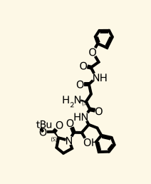 CC(C)(C)OC(=O)[C@@H]1CCCN1C(=O)C(O)C(Cc1ccccc1)NC(=O)[C@@H](N)CC(=O)NC(=O)COc1ccccc1